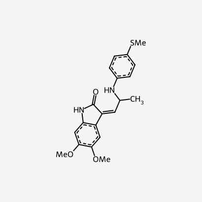 COc1cc2c(cc1OC)C(=CC(C)Nc1ccc(SC)cc1)C(=O)N2